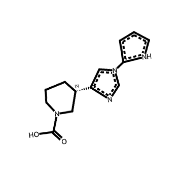 O=C(O)N1CCC[C@H](c2cn(-c3ccc[nH]3)cn2)C1